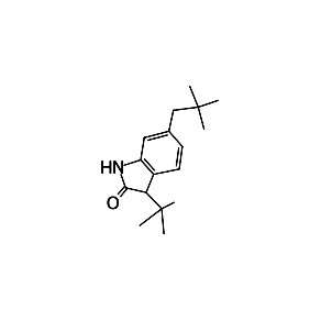 CC(C)(C)Cc1ccc2c(c1)NC(=O)C2C(C)(C)C